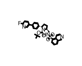 CC(C)(C)OC(=O)N1[C@H](CNS(=O)(=O)c2cccc3cnccc23)CC[C@H]1c1ccc(-c2ccc(F)nc2)cc1